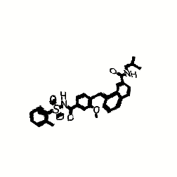 COc1cc(C(=O)NS(=O)(=O)c2ccccc2C)ccc1Cc1cccc2ccc(C(=O)NCC(C)C)cc12